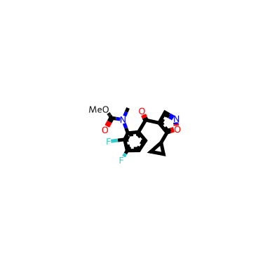 COC(=O)N(C)c1c(C(=O)c2cnoc2C2CC2)ccc(F)c1F